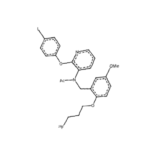 COc1ccc(OCCC[18F])c(CN(C(C)=O)c2cccnc2Oc2ccc(I)cc2)c1